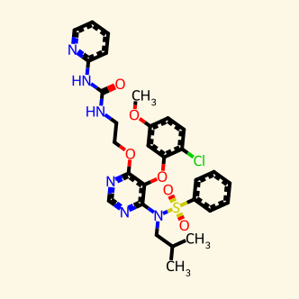 COc1ccc(Cl)c(Oc2c(OCCNC(=O)Nc3ccccn3)ncnc2N(CC(C)C)S(=O)(=O)c2ccccc2)c1